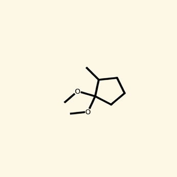 COC1(OC)CCCC1C